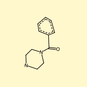 O=C(c1ccccc1)N1CC[N]CC1